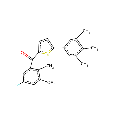 CC(=O)Oc1cc(F)cc(C(=O)c2ccc(-c3cc(C)c(C)c(C)c3)s2)c1C